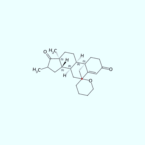 CC1C[C@H]2[C@@H]3CCC4=CC(=O)CC[C@]4(CC4CCCCO4)[C@@H]3CC[C@]2(C)C1=O